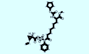 C=C[C@@H]1C[C@]1(N)C(=O)NS(=O)(=O)N(C(=O)CCCCCCC(NC(=O)OC1CCCC1)C(=O)OC)c1ccccc1